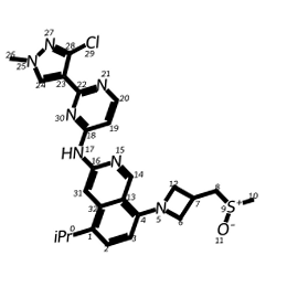 CC(C)c1ccc(N2CC(C[S+](C)[O-])C2)c2cnc(Nc3ccnc(-c4cn(C)nc4Cl)n3)cc12